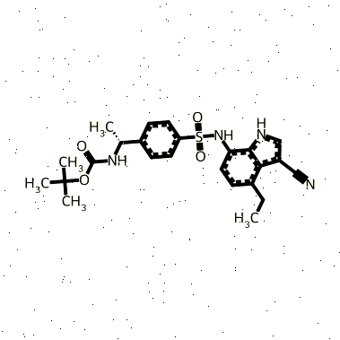 CCc1ccc(NS(=O)(=O)c2ccc([C@@H](C)NC(=O)OC(C)(C)C)cc2)c2[nH]cc(C#N)c12